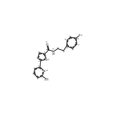 CCc1cccc(-c2ccc(C(=O)NCCc3ccc(F)cc3)s2)n1